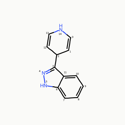 C1=CC(c2n[nH]c3ccccc23)C=CN1